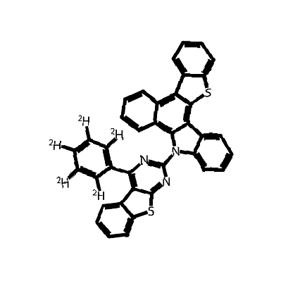 [2H]c1c([2H])c([2H])c(-c2nc(-n3c4ccccc4c4c5sc6ccccc6c5c5ccccc5c43)nc3sc4ccccc4c23)c([2H])c1[2H]